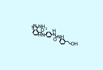 Nc1nsc2cccc(C(=O)Nc3ccc(NC(=O)Nc4cccc(CCO)c4)cc3)c12